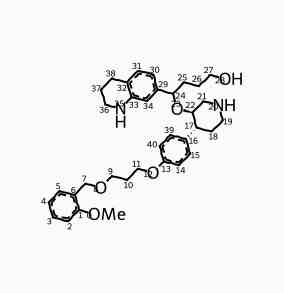 COc1ccccc1COCCCOc1ccc([C@H]2CCNC[C@@H]2OC(CCCO)c2ccc3c(c2)NCCC3)cc1